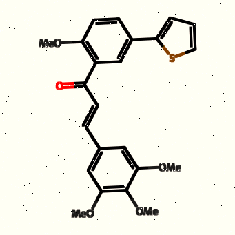 COc1ccc(-c2cccs2)cc1C(=O)C=Cc1cc(OC)c(OC)c(OC)c1